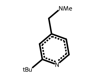 CNCc1ccnc(C(C)(C)C)c1